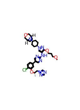 COCCCOc1nn([C@H]2CC[C@H](N3[C@@H]4CC[C@H]3COC4)CC2)cc1Nc1ncc(-c2ccc(Cl)c(O[C@@H](C)Cn3cncn3)c2)cn1